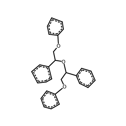 c1ccc(OCC(OC(COc2ccccc2)c2ccccc2)c2ccccc2)cc1